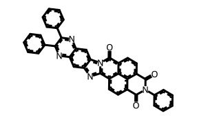 O=C1c2ccc3c(=O)n4c5cc6nc(-c7ccccc7)c(-c7ccccc7)nc6cc5nc4c4ccc(c2c34)C(=O)N1c1ccccc1